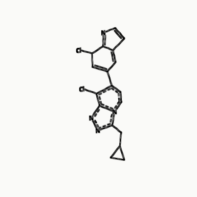 Clc1c(C2=CC(Cl)C3=NC=CC3=C2)ccn2c(CC3CC3)nnc12